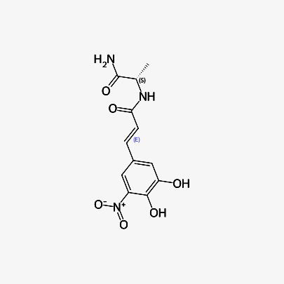 C[C@H](NC(=O)/C=C/c1cc(O)c(O)c([N+](=O)[O-])c1)C(N)=O